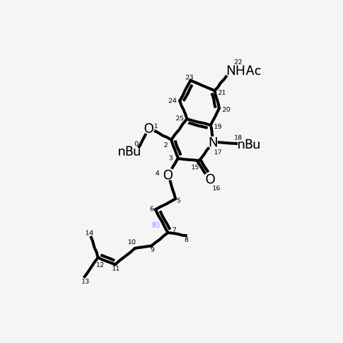 CCCCOc1c(OC/C=C(\C)CCC=C(C)C)c(=O)n(CCCC)c2cc(NC(C)=O)ccc12